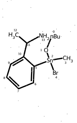 CCCC[O][Sn]([CH3])([Br])[c]1ccccc1C(C)N